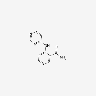 NC(=O)c1ccccc1Nc1ccncn1